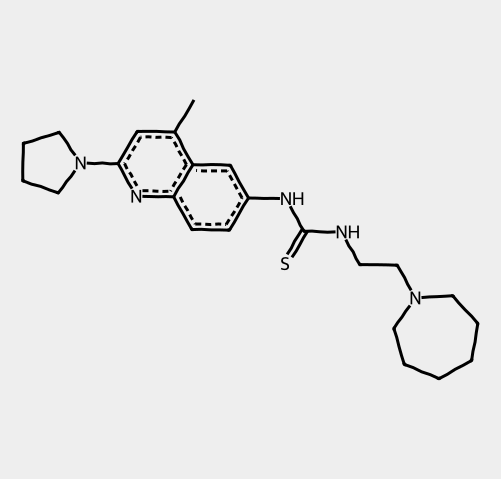 Cc1cc(N2CCCC2)nc2ccc(NC(=S)NCCN3CCCCCC3)cc12